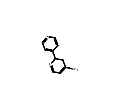 NC1=CC=NC(c2ccncc2)C1